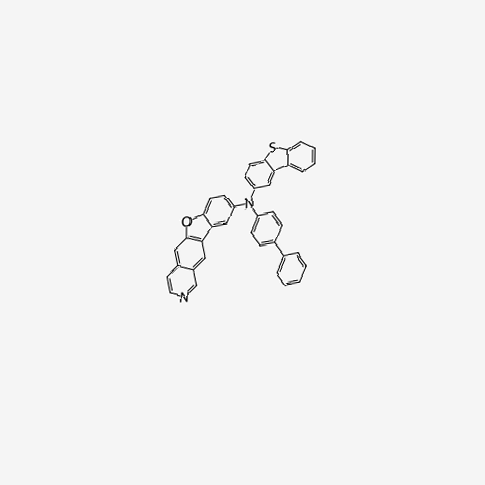 c1ccc(-c2ccc(N(c3ccc4oc5cc6ccncc6cc5c4c3)c3ccc4sc5ccccc5c4c3)cc2)cc1